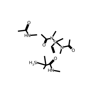 C=C[Si](C)(N(C)C(C)=O)N(C)C(C)=O.CNC(=O)C(C)(C)[SiH3].CNC(C)=O